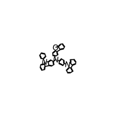 c1ccc(-n2c3ccccc3c3ccc(N(c4ccc(-n5c6ccccc6c6ccccc65)cc4)c4ccc5oc6ccccc6c5c4)cc32)cc1